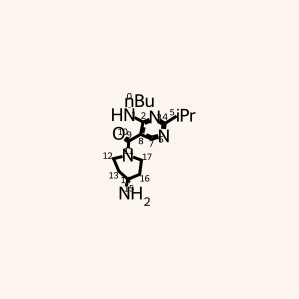 CCCCNc1nc(C(C)C)ncc1C(=O)N1CCC(N)CC1